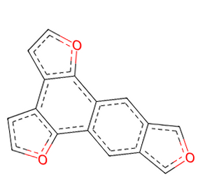 c1cc2c3ccoc3c3cc4cocc4cc3c2o1